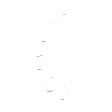 CCNC(=O)N1CCC(Oc2ccc(-c3ccc4ccc(O)nc4c3C)cc2)CC1